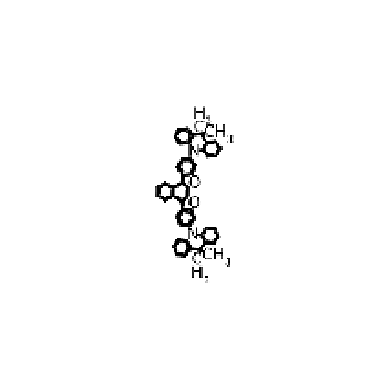 CC1(C)c2ccccc2N(c2ccc3c(c2)oc2c4oc5cc(N6c7ccccc7C(C)(C)c7ccccc76)ccc5c4c4ccccc4c32)c2ccccc21